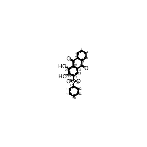 O=C1c2ccccc2C(=O)c2c1cc(S(=O)(=O)c1ccccc1)c(O)c2O